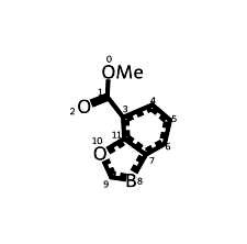 COC(=O)c1cccc2bcoc12